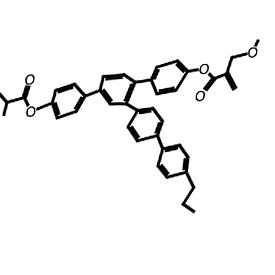 C=C(COC)C(=O)Oc1ccc(-c2ccc(-c3ccc(OC(=O)C(C)C)cc3)cc2-c2ccc(-c3ccc(CCC)cc3)cc2)cc1